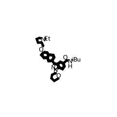 CCC(C)NC(=O)c1ccc2c(c1)c(-c1ccc3cc(OCC4CCCN4CC)ccc3c1)nn2C1CCCCO1